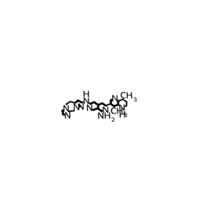 Cc1c(-c2cc3cc(Nc4cc5n(n4)Cc4nccn4CC5)ncc3c(N)n2)cnc2c1NCC[C@H]2C